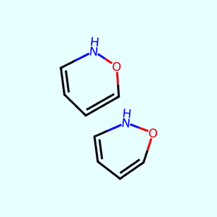 C1=CNOC=C1.C1=CNOC=C1